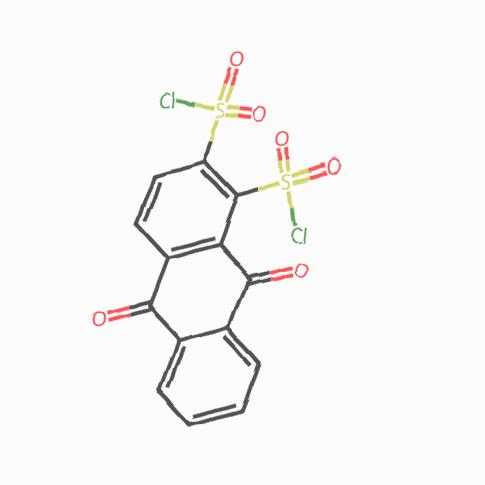 O=C1c2ccccc2C(=O)c2c1ccc(S(=O)(=O)Cl)c2S(=O)(=O)Cl